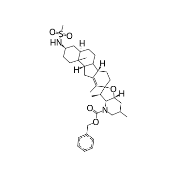 CC1=C2C[C@H]3C(CC[C@@H]4C[C@H](NS(C)(=O)=O)CCC43C)[C@@H]2CCC12O[C@@H]1CC(C)CN(C(=O)OCc3ccccc3)C1[C@H]2C